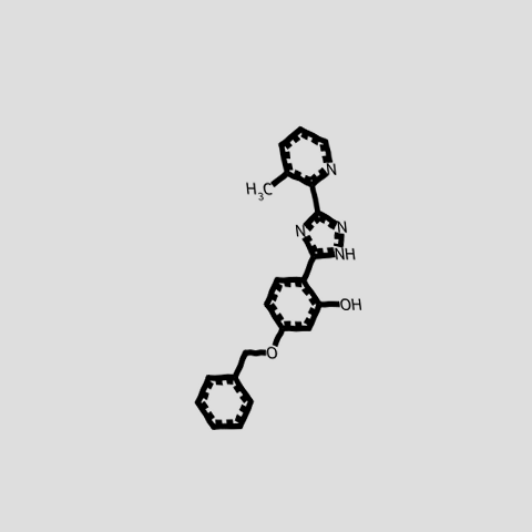 Cc1cccnc1-c1n[nH]c(-c2ccc(OCc3ccccc3)cc2O)n1